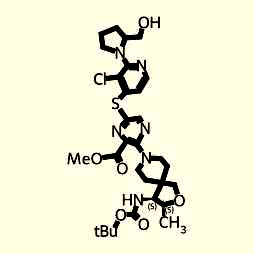 COC(=O)c1nc(Sc2ccnc(N3CCCC3CO)c2Cl)cnc1N1CCC2(CC1)CO[C@@H](C)[C@H]2NC(=O)OC(C)(C)C